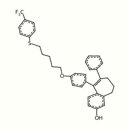 Oc1ccc2c(c1)CCCC(c1ccccc1)=C2c1ccc(OCCCCCSc2ccc(C(F)(F)F)cc2)cc1